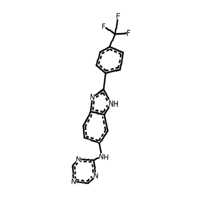 FC(F)(F)c1ccc(-c2nc3ccc(Nc4ncncn4)cc3[nH]2)cc1